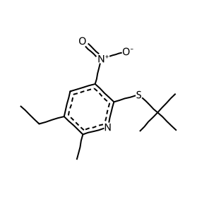 CCc1cc([N+](=O)[O-])c(SC(C)(C)C)nc1C